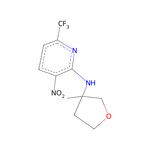 CC1(Nc2nc(C(F)(F)F)ccc2[N+](=O)[O-])CCOC1